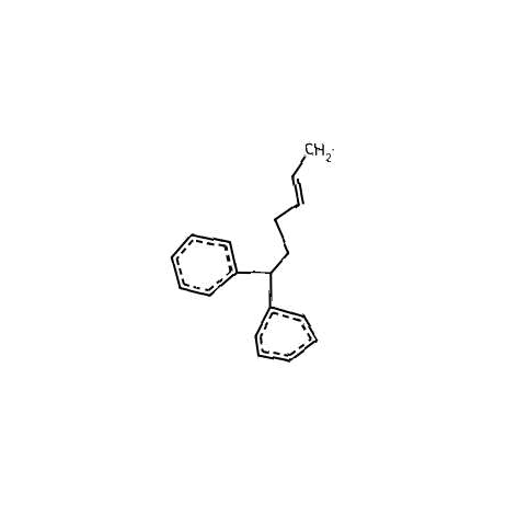 [CH2]C=CCCC(c1ccccc1)c1ccccc1